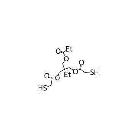 CCC(=O)OCC(CC)(COC(=O)CS)COC(=O)CS